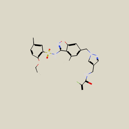 C=C(F)C(=O)NCc1cnn(Cc2cc(OC)c3c(NS(=O)(=O)c4cc(CC)ccc4OCC#N)noc3c2)c1